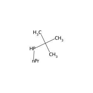 [CH]CCPC(C)(C)C